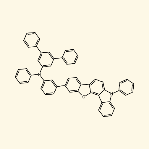 c1ccc(-c2cc(-c3ccccc3)cc(N(c3ccccc3)c3cccc(-c4ccc5c(c4)oc4c5ccc5c4c4ccccc4n5-c4ccccc4)c3)c2)cc1